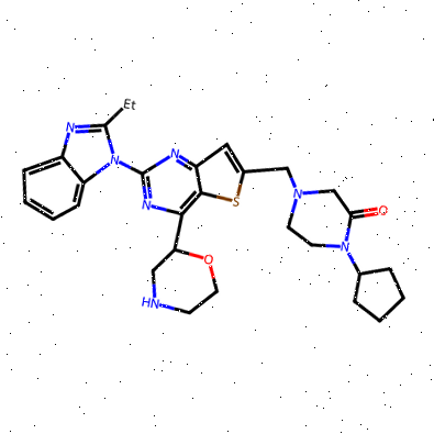 CCc1nc2ccccc2n1-c1nc(C2CNCCO2)c2sc(CN3CCN(C4CCCC4)C(=O)C3)cc2n1